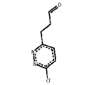 O=CCCc1ccc(Cl)nn1